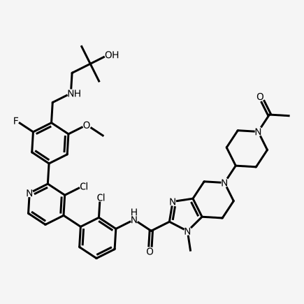 COc1cc(-c2nccc(-c3cccc(NC(=O)c4nc5c(n4C)CCN(C4CCN(C(C)=O)CC4)C5)c3Cl)c2Cl)cc(F)c1CNCC(C)(C)O